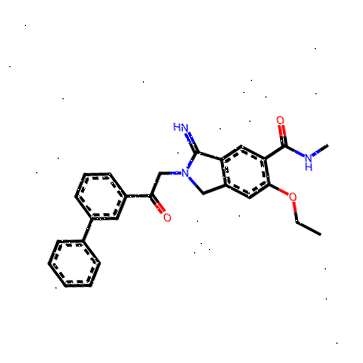 CCOc1cc2c(cc1C(=O)NC)C(=N)N(CC(=O)c1cccc(-c3ccccc3)c1)C2